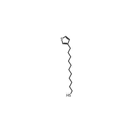 SCCCCCCCCCCCc1ccsc1